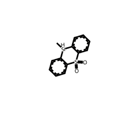 C[SiH]1c2ccccc2S(=O)(=O)c2ccccc21